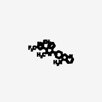 Cc1nc(N2CCC3(CC2)Cc2ncccc2[C@H]3N)c2ccnn2c1-c1cc(C(F)(F)F)nn1C